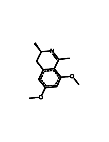 COc1cc2c(c(OC)c1)C(C)=N[C@H](C)C2